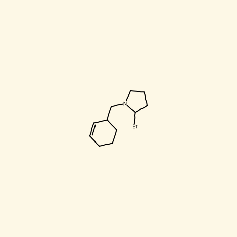 CCC1CCCN1CC1C=CCCC1